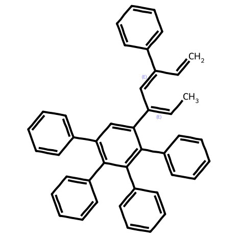 C=C/C(=C\C(=C/C)c1cc(-c2ccccc2)c(-c2ccccc2)c(-c2ccccc2)c1-c1ccccc1)c1ccccc1